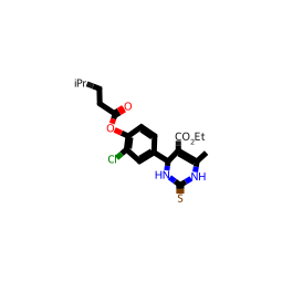 CCOC(=O)C1=C(C)NC(=S)NC1c1ccc(OC(=O)CCC(C)C)c(Cl)c1